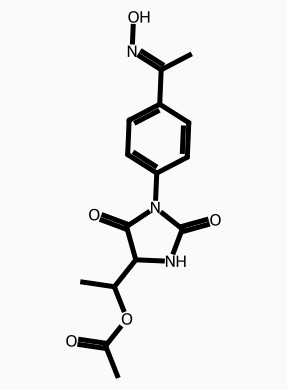 CC(=O)OC(C)C1NC(=O)N(c2ccc(C(C)=NO)cc2)C1=O